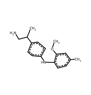 COc1cc(C)ccc1Nc1ccc(C(C)CN)cc1